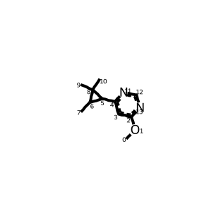 COc1cc(C2C(C)C2(C)C)ncn1